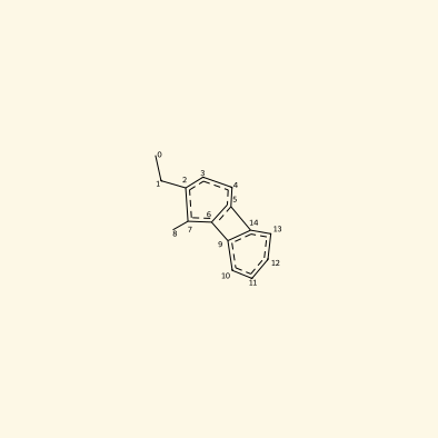 CCc1ccc2c(c1C)-c1ccccc1-2